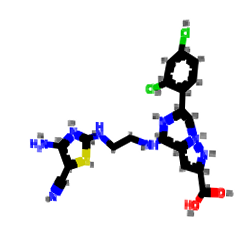 N#Cc1sc(NCCNc2nc(-c3ccc(Cl)cc3Cl)cn3nc(C(=O)O)cc23)nc1N